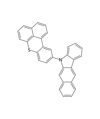 c1ccc2cc3c(cc2c1)c1ccccc1n3-c1ccc2c(c1)-c1cccc3cccc(c13)S2